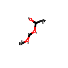 CCCC([O])OCOCC